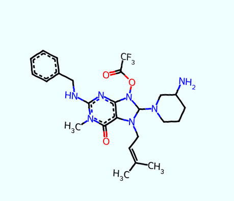 CC(C)=CCN1c2c(nc(NCc3ccccc3)n(C)c2=O)N(OC(=O)C(F)(F)F)C1N1CCCC(N)C1